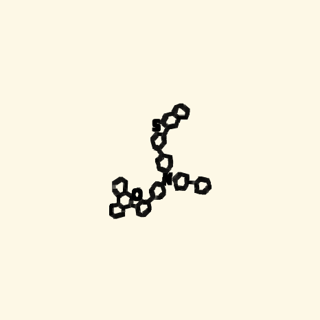 C1=CC2c3ccccc3-c3oc4c(-c5ccc(N(c6ccc(-c7ccccc7)cc6)c6ccc(-c7ccc8sc9cc%10ccccc%10cc9c8c7)cc6)cc5)cccc4c3C2C=C1